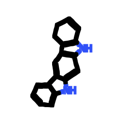 C1=Cc2[nH]c3cc4[nH]c5ccccc5c4cc3c2CC1